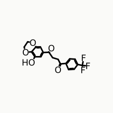 O=C(CCC(=O)c1cc(O)c2c(c1)OCCO2)c1ccc(C(F)(F)F)cc1